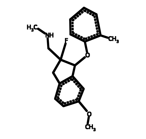 CNCC1(F)Cc2ccc(OC)cc2C1Oc1ccccc1C